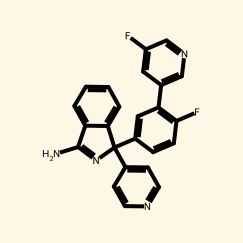 NC1=NC(c2ccncc2)(c2ccc(F)c(-c3cncc(F)c3)c2)c2ccccc21